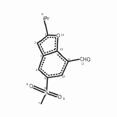 CC(C)c1cc2cc(S(C)(=O)=O)cc(C=O)c2o1